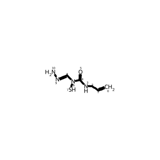 C=CCNC(=O)N(S)C=NN